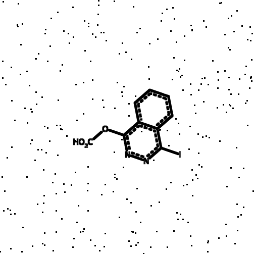 O=C(O)Oc1nnc(I)c2ccccc12